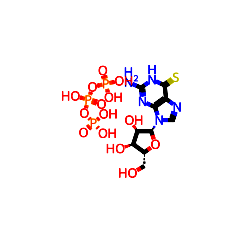 Nc1nc2c(ncn2[C@@H]2O[C@H](CO)[C@@H](O)[C@H]2O)c(=S)[nH]1.O=P(O)(O)OP(=O)(O)OP(=O)(O)O